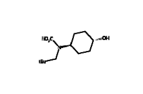 CC(C)(C)CN(C(=O)O)[C@H]1CC[C@H](O)CC1